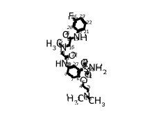 CN(C)CCOc1ccc(NC(=O)CN(C)CC(=O)Nc2cccc(F)c2)cc1S(N)(=O)=O